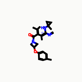 C=N/C(NC1(C)CC1)=C(\C)C(C(=O)N1CC(Oc2ccc(C)cc2)C1)=C(C)C